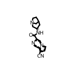 N#Cc1ccn2cc(C(=O)N[C@@H]3CC4CCN(C4)C3)ncc12